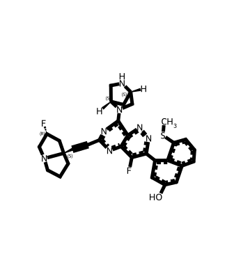 CSc1cccc2cc(O)cc(-c3nnc4c(N5C[C@@H]6C[C@H]5CN6)nc(C#C[C@@]56CCCN5C[C@H](F)C6)nc4c3F)c12